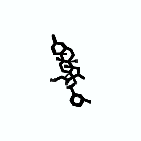 CC(=O)OCC(=O)[C@@]1(OC(=O)c2cccc(I)c2)C(C)C[C@H]2[C@@H]3CCC4=CC(=O)C=C[C@]4(C)[C@H]3CC[C@@]21C